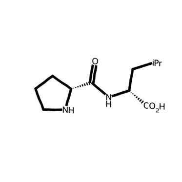 CC(C)C[C@@H](NC(=O)[C@H]1CCCN1)C(=O)O